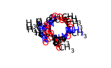 CCC[C@H]1C(=O)N2CCC[C@H]2C(=O)N(C)[C@@H](Cc2ccc(OC)cc2)C(=O)O[C@H](C)[C@H](NC(=O)[C@@H](CC(C)C)N(C)C(=O)[C@@H]2CCCN2C(=O)[C@H](C)N=O)C(=O)N(N)[C@H](C(C)C)[C@@H](N=O)CC(=O)O[C@@H](C(C)C)C(=O)[C@H](C)C(=O)N1N